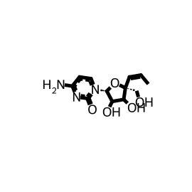 C/C=C\[C@]1(CO)O[C@@H](n2ccc(N)nc2=O)C(O)C1O